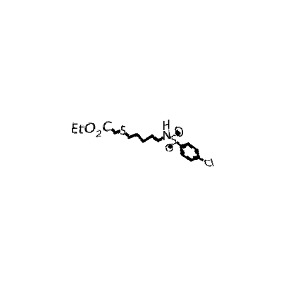 CCOC(=O)CSCCCCCNS(=O)(=O)c1ccc(Cl)cc1